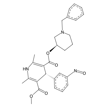 COC(=O)C1=C(C)NC(C)=C(C(=O)O[C@@H]2CCCN(Cc3ccccc3)C2)[C@@H]1c1cccc(N=O)c1